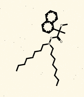 CCCCCCCCN(CCCCCCCC)OC(=O)C(C)(OC)c1cccc2ccccc12